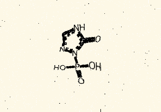 O=c1[nH]cnn1P(=O)(O)O